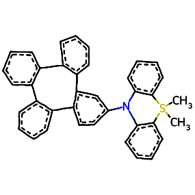 CS1(C)c2ccccc2N(c2ccc3c(c2)-c2ccccc2-c2ccccc2-c2ccccc2-3)c2ccccc21